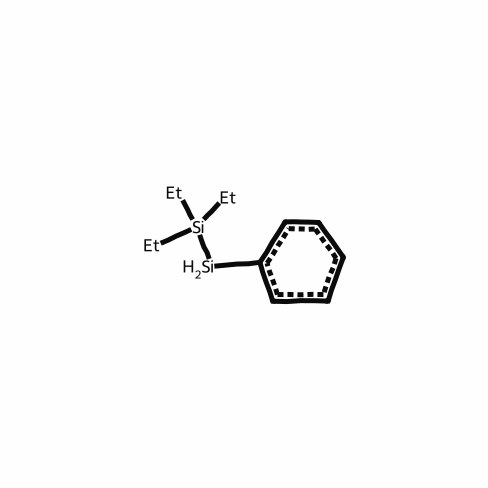 CC[Si](CC)(CC)[SiH2]c1ccccc1